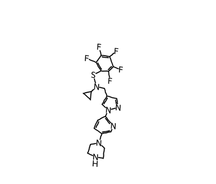 Fc1c(F)c(F)c(SN(Cc2cnn(-c3ccc(N4CCNCC4)cn3)c2)C2CC2)c(F)c1F